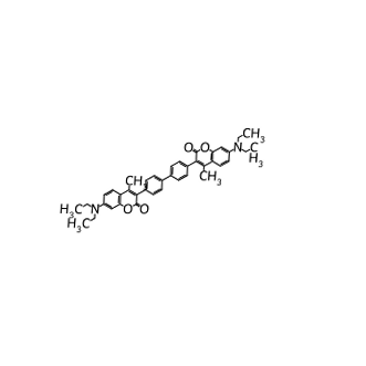 CCN(CC)c1ccc2c(C)c(-c3ccc(-c4ccc(-c5c(C)c6ccc(N(CC)CC)cc6oc5=O)cc4)cc3)c(=O)oc2c1